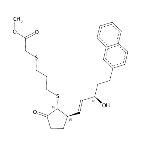 COC(=O)CSCCCS[C@H]1C(=O)CC[C@@H]1C=C[C@H](O)CCc1ccc2ccccc2c1